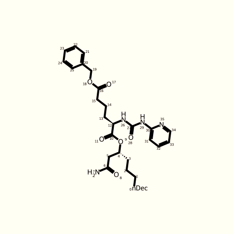 CCCCCCCCCCCCC[C@H](CC(N)=O)OC(=O)[C@@H](CCCC(=O)OCc1ccccc1)NC(=O)Nc1ccccn1